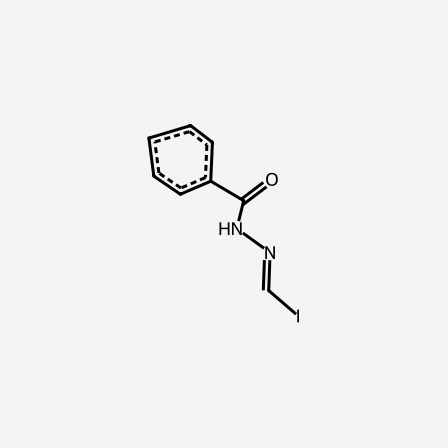 O=C(N/N=C/I)c1ccccc1